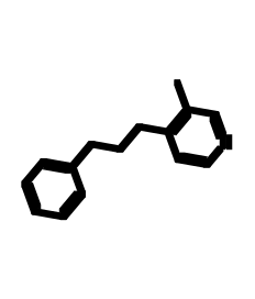 Cc1cnccc1CCCc1ccccc1